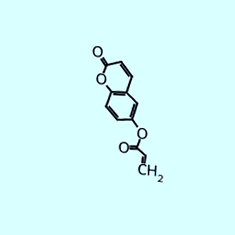 C=CC(=O)Oc1ccc2oc(=O)ccc2c1